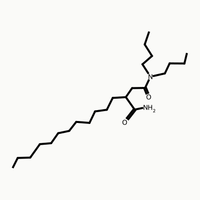 CCCCCCCCCCCCC(CC(=O)N(CCCC)CCCC)C(N)=O